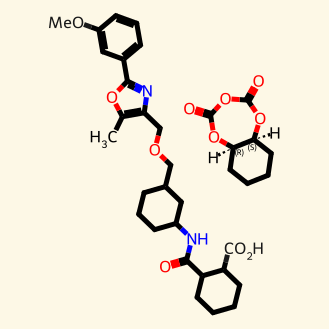 COc1cccc(-c2nc(COCC3CCCC(NC(=O)C4CCCCC4C(=O)O)C3)c(C)o2)c1.O=C1OC(=O)O[C@@H]2CCCC[C@@H]2O1